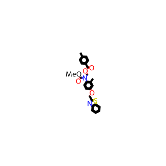 COC(=O)N(COC(=O)c1ccc(C)cc1)c1ccc(OCc2nc3ccccc3s2)cc1C